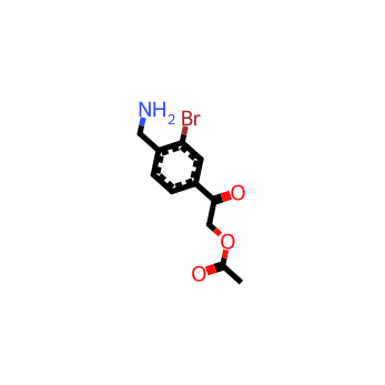 CC(=O)OCC(=O)c1ccc(CN)c(Br)c1